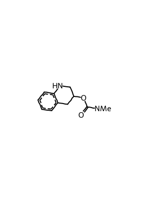 CNC(=O)OC1CNc2ccccc2C1